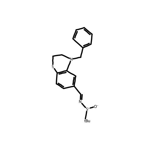 CC(C)(C)[S+]([O-])N=Cc1ccc2c(c1)N(Cc1ccccc1)CCS2